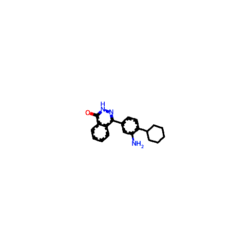 Nc1cc(-c2n[nH]c(=O)c3ccccc23)ccc1C1CCCCC1